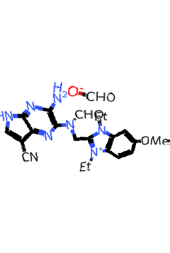 CCn1c(CN(C=O)c2nc3c(C#N)c[nH]c3nc2N)[n+](CC)c2ccc(OC)cc21.O=C[O-]